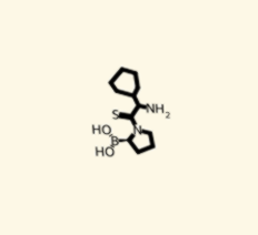 NC(C(=S)N1CCC[C@H]1B(O)O)C1CCCCC1